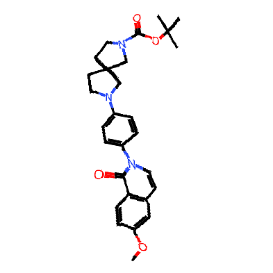 COc1ccc2c(=O)n(-c3ccc(N4CCC5(CCN(C(=O)OC(C)(C)C)C5)C4)cc3)ccc2c1